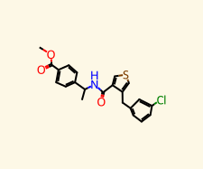 COC(=O)c1ccc(C(C)NC(=O)c2cscc2Cc2cccc(Cl)c2)cc1